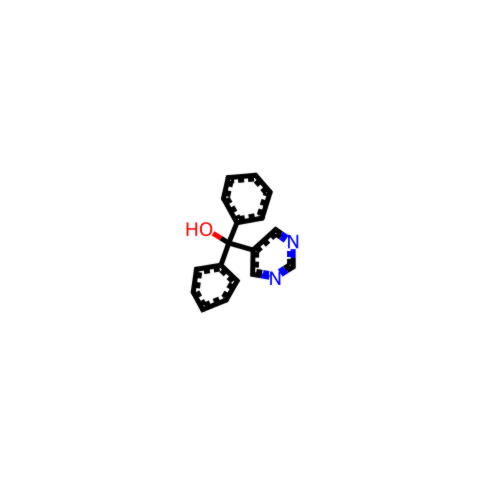 OC(c1ccccc1)(c1ccccc1)c1cncnc1